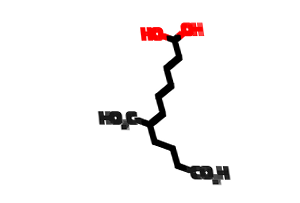 O=C(O)CCCC(CCCCCC(O)O)C(=O)O